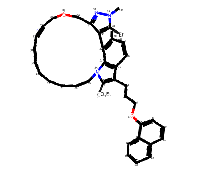 CCOC(=O)c1c(CCCOc2cccc3ccccc23)c2ccc(C)c3c2n1CCCCCCC/C=C\COCc1nn(C)c(CC)c1-3